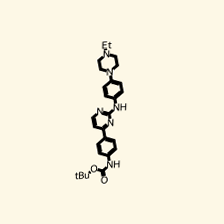 CCN1CCN(c2ccc(Nc3nccc(-c4ccc(NC(=O)OC(C)(C)C)cc4)n3)cc2)CC1